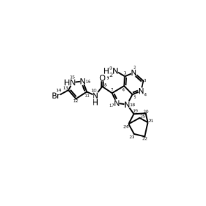 Nc1ncnc2c1c(C(=O)Nc1cc(Br)[nH]n1)nn2C1CC2CCC1C2